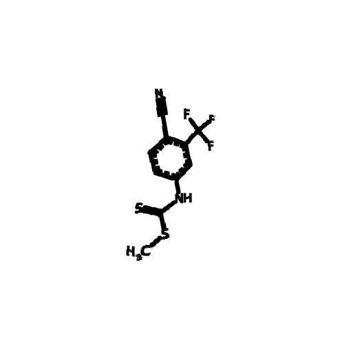 CSC(=S)Nc1ccc(C#N)c(C(F)(F)F)c1